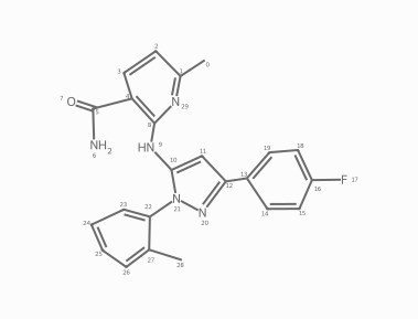 Cc1ccc(C(N)=O)c(Nc2cc(-c3ccc(F)cc3)nn2-c2ccccc2C)n1